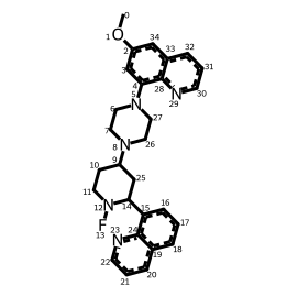 COc1cc(N2CCN(C3CCN(F)C(c4cccc5cccnc45)C3)CC2)c2ncccc2c1